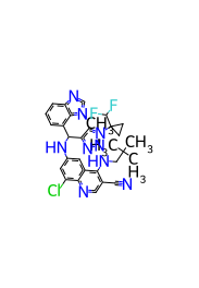 Cn1cnc2cccc(C(Nc3cc(Cl)c4ncc(C#N)c(NCC(C)(C)C)c4c3)c3cn(C4(C(F)F)CC4)nn3)c21